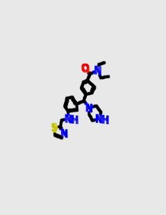 CCN(CC)C(=O)c1ccc(C(c2cccc(NCc3nccs3)c2)N2CCNCC2)cc1